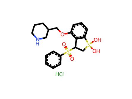 Cl.O=S(=O)(c1ccccc1)C1CS(O)(O)c2cccc(OCC3CCCNC3)c21